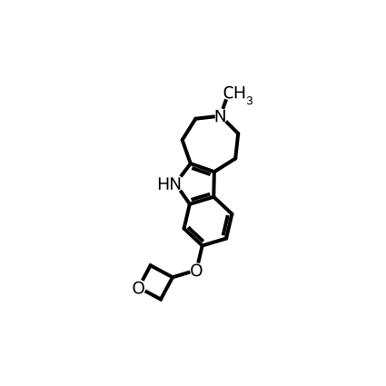 CN1CCc2[nH]c3cc(OC4COC4)ccc3c2CC1